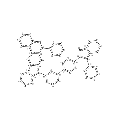 c1ccc(-c2nc3ccccc3c3cc4c5ccccc5n(-c5cccc(-c6ccc(-c7nc8ccccc8n7-c7ccccc7)cc6)c5)c4cc23)cc1